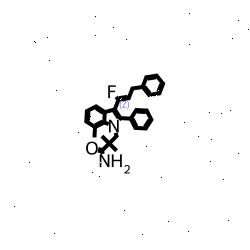 Cc1cccc2c(/C(F)=C/Cc3ccccc3)c(-c3ccccc3)n(CC(C)(C)C(N)=O)c12